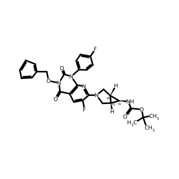 CC(C)(C)OC(=O)N[C@H]1[C@@H]2CN(c3nc4c(cc3F)c(=O)n(OCc3ccccc3)c(=O)n4-c3ccc(F)cc3)C[C@@H]21